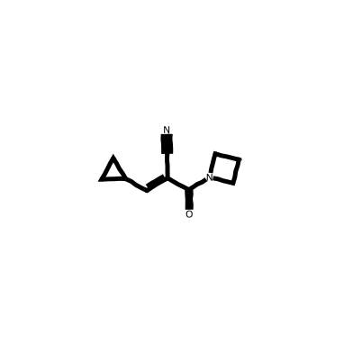 N#CC(=CC1CC1)C(=O)N1C[CH]C1